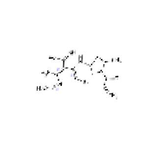 C=CC(=O)N1CC(NC(=C\CC)/C(C(=N)C(C)=O)=C(N)\N=C/C)CC1C